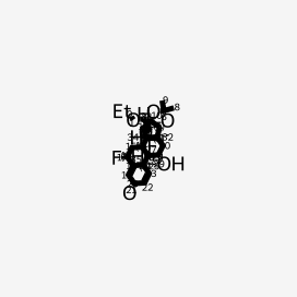 CCOCC(=O)[C@@]12OC(C)(C)O[C@@H]1C[C@H]1[C@@H]3C[C@H](F)C4=CC(=O)C=C[C@]4(C)[C@@]3(F)[C@@H](O)C[C@@]12C